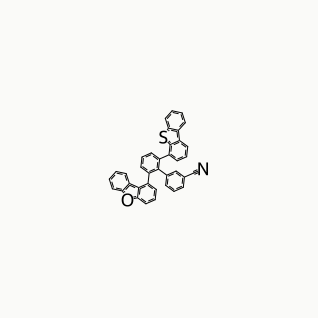 N#Cc1cccc(-c2c(-c3cccc4c3sc3ccccc34)cccc2-c2cccc3oc4ccccc4c23)c1